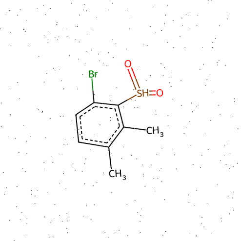 Cc1ccc(Br)c([SH](=O)=O)c1C